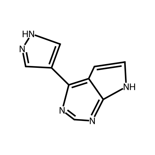 c1nc(-c2cn[nH]c2)c2cc[nH]c2n1